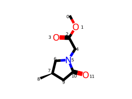 COC(=O)CN1C[C@H](C)CC1=O